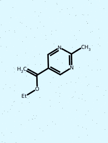 C=C(OCC)c1cnc(C)nc1